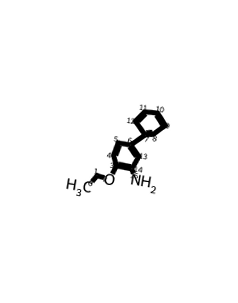 CCOc1ccc(-c2ccccc2)cc1N